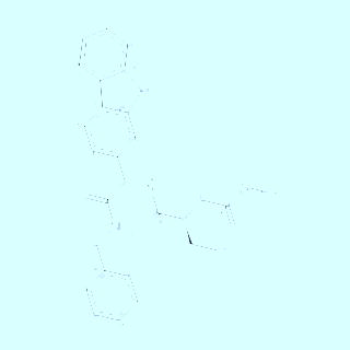 CC(C)C[C@H](CC(=O)NO)C(=O)N[C@H](C(=O)NCc1ccccc1)c1ccc2c(c1)Cc1ccccc1-2